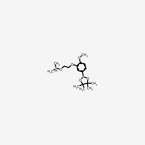 COc1ccc(B2OC(C)(C)C(C)(C)O2)cc1OCCO[SiH](C)C